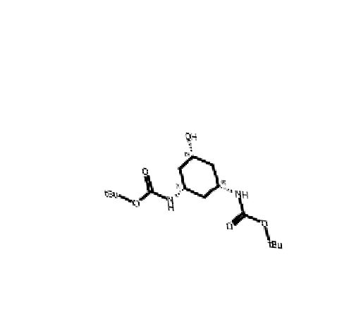 CC(C)(C)OC(=O)N[C@@H]1C[C@H](O)C[C@H](NC(=O)OC(C)(C)C)C1